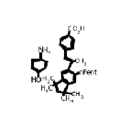 CCCCCc1cc2c(cc1/C(C)=C/c1ccc(C(=O)O)cc1)C(C)(C)CC2(C)C.Nc1ccc(O)cc1